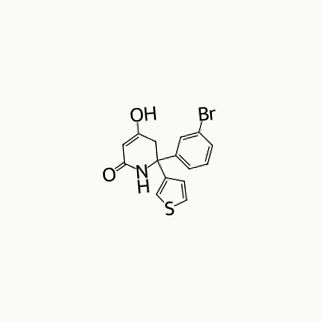 O=C1C=C(O)CC(c2ccsc2)(c2cccc(Br)c2)N1